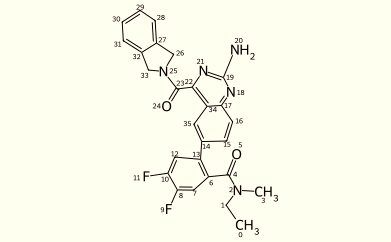 CCN(C)C(=O)c1cc(F)c(F)cc1-c1ccc2nc(N)nc(C(=O)N3Cc4ccccc4C3)c2c1